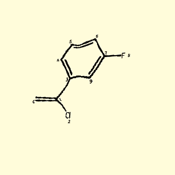 C=C(Cl)c1cccc(F)c1